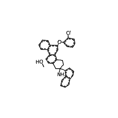 CO.NC1(c2cccc3ccccc23)CCc2c(ccc3c2cc(Oc2ccccc2Cl)c2ccccc23)C1